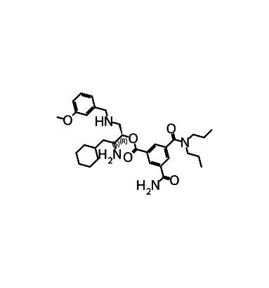 CCCN(CCC)C(=O)c1cc(C(N)=O)cc(C(=O)O[C@H](CNCc2cccc(OC)c2)[C@@H](N)CC2CCCCC2)c1